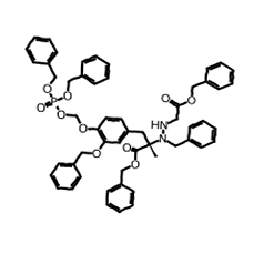 C[C@](Cc1ccc(OCOP(=O)(OCc2ccccc2)OCc2ccccc2)c(OCc2ccccc2)c1)(C(=O)OCc1ccccc1)N(Cc1ccccc1)NCC(=O)OCc1ccccc1